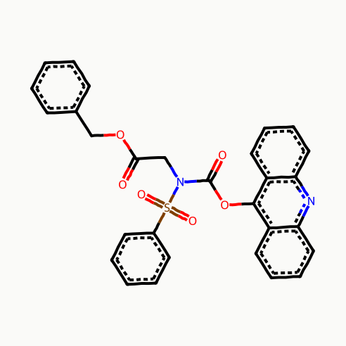 O=C(CN(C(=O)Oc1c2ccccc2nc2ccccc12)S(=O)(=O)c1ccccc1)OCc1ccccc1